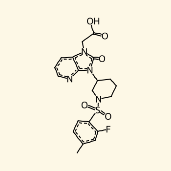 Cc1ccc(S(=O)(=O)N2CCCC(n3c(=O)n(CC(=O)O)c4cccnc43)C2)c(F)c1